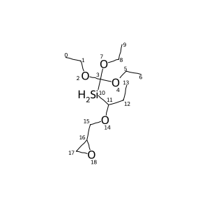 CCOC(OCC)(OCC)[SiH2]C(CC)OCC1CO1